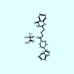 O=C(CCCc1nc2ccccc2c(=O)[nH]1)N1CCN(c2noc3ccccc23)CC1.O=C(O)C(F)(F)F